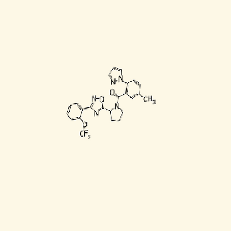 Cc1ccc(-n2cccn2)c(C(=O)N2CCCC2c2nc(-c3ccccc3OC(F)(F)F)no2)c1